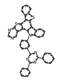 c1ccc(-c2nc(-c3ccccc3)nc(-c3cccc(-n4c5ccccc5c5c6sc7ccccc7c6c6sc7ncncc7c6c54)c3)n2)cc1